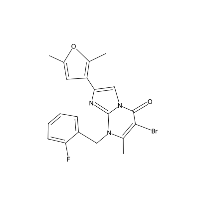 Cc1cc(-c2cn3c(=O)c(Br)c(C)n(Cc4ccccc4F)c3n2)c(C)o1